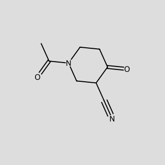 CC(=O)N1CCC(=O)C(C#N)C1